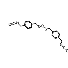 O=C=NCc1ccc(CSOSCc2ccc(CN=C=O)cc2)cc1